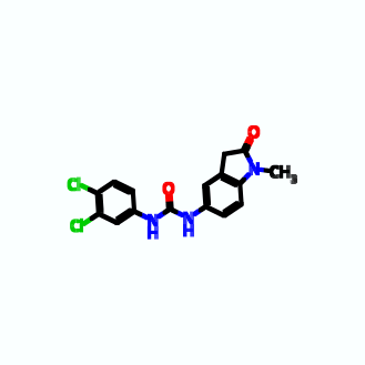 CN1C(=O)Cc2cc(NC(=O)Nc3ccc(Cl)c(Cl)c3)ccc21